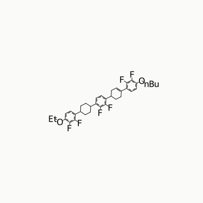 CCCCOc1ccc(C2=CCC(c3ccc(C4CCC(c5ccc(OCC)c(F)c5F)CC4)c(F)c3F)CC2)c(F)c1F